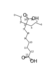 CCCC(CCC)(CCCCCCC(=O)O)C(=O)O